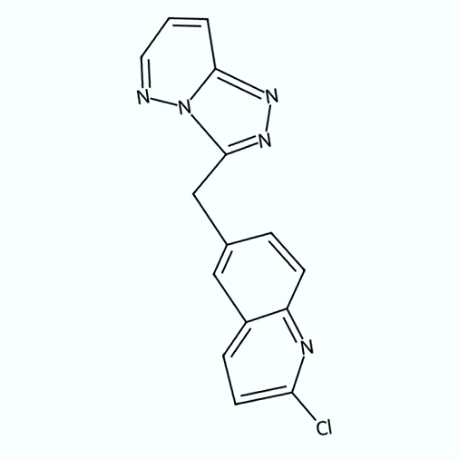 Clc1ccc2cc(Cc3nnc4cccnn34)ccc2n1